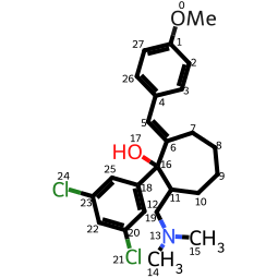 COc1ccc(/C=C2\CCCCC(CN(C)C)C2(O)c2cc(Cl)cc(Cl)c2)cc1